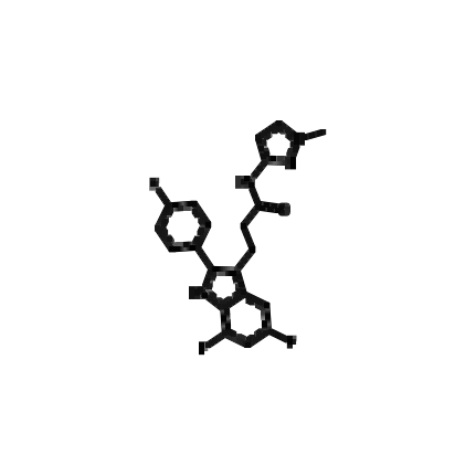 Cn1ccc(NC(=O)CCc2c(-c3ccc(F)cc3)[nH]c3c(F)cc(F)cc23)n1